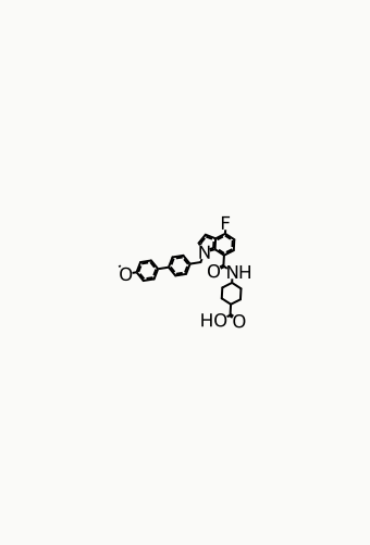 COc1ccc(-c2ccc(Cn3ccc4c(F)ccc(C(=O)NC5CCC(C(=O)O)CC5)c43)cc2)cc1